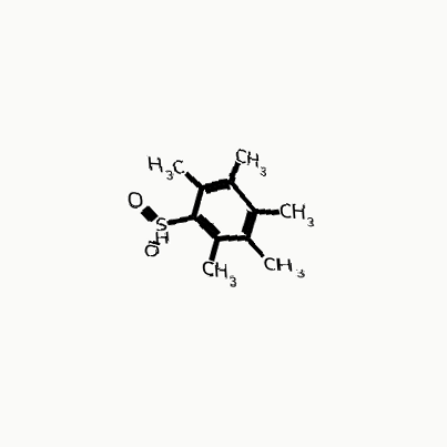 Cc1c(C)c(C)c([SH](=O)=O)c(C)c1C